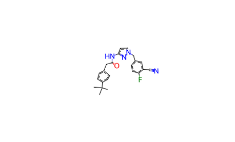 CC(C)(C)c1ccc(CC(=O)Nc2ccn(Cc3ccc(F)c(C#N)c3)n2)cc1